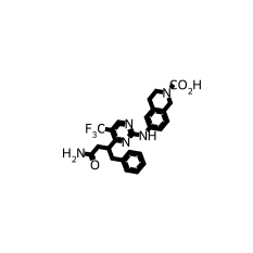 NC(=O)CC(Cc1ccccc1)c1nc(Nc2ccc3c(c2)CCN(C(=O)O)C3)ncc1C(F)(F)F